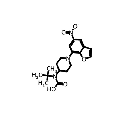 CC(C)(C)N(C(=O)O)C1CCN(c2cc([N+](=O)[O-])cc3ccoc23)CC1